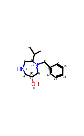 CC(C)C1CNC[C@@H](O)CN1Cc1ccccc1